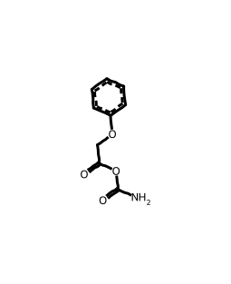 NC(=O)OC(=O)COc1ccccc1